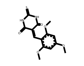 COc1cc(OC)c(C=C2C(=O)NC(=S)NC2=O)c(OC)c1